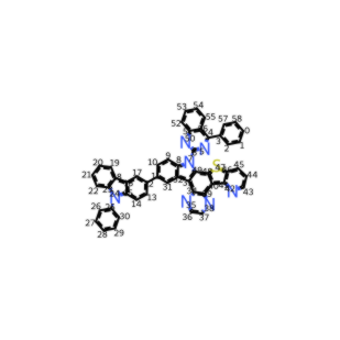 c1ccc(-c2nc(-n3c4ccc(-c5ccc6c(c5)c5ccccc5n6-c5ccccc5)cc4c4c5nccnc5c5c6ncccc6sc5c43)nc3ccccc23)cc1